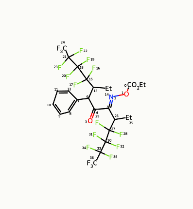 CCOC(=O)ON=C(C(=O)C(c1ccccc1)C(CC)C(F)(F)C(F)(F)C(F)(F)C(F)(F)F)C(CC)C(F)(F)C(F)(F)C(F)(F)C(F)(F)F